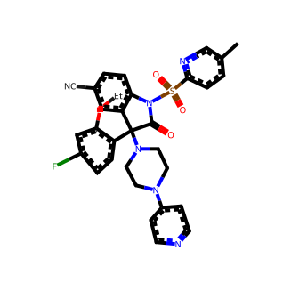 CCOc1cc(F)ccc1C1(N2CCN(c3ccncc3)CC2)C(=O)N(S(=O)(=O)c2ccc(C)cn2)c2ccc(C#N)cc21